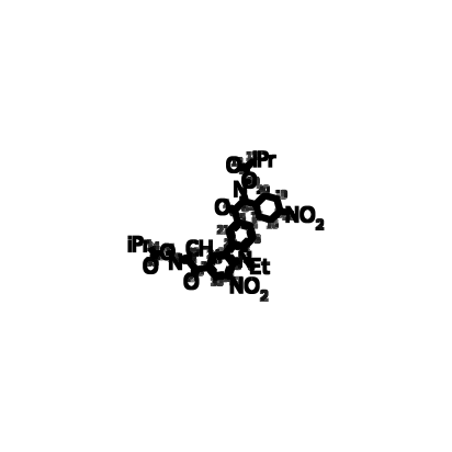 CCn1c2ccc(C(=O)/C(=N/OC(=O)C(C)C)C3CCC([N+](=O)[O-])CC3)cc2c2cc(C(=O)/C(C)=N/OC(=O)C(C)C)cc([N+](=O)[O-])c21